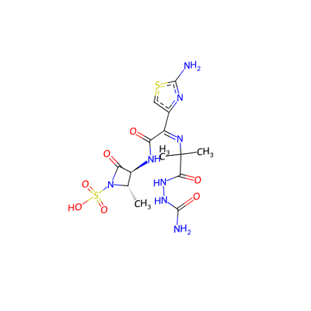 C[C@H]1[C@H](NC(=O)/C(=N\C(C)(C)C(=O)NNC(N)=O)c2csc(N)n2)C(=O)N1S(=O)(=O)O